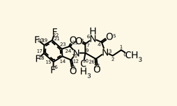 CCCN1C(=O)NC(=O)C(C)(N2C(=O)c3c(F)c(F)c(F)c(F)c3C2=O)C1=O